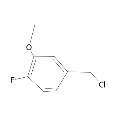 COc1cc(CCl)ccc1F